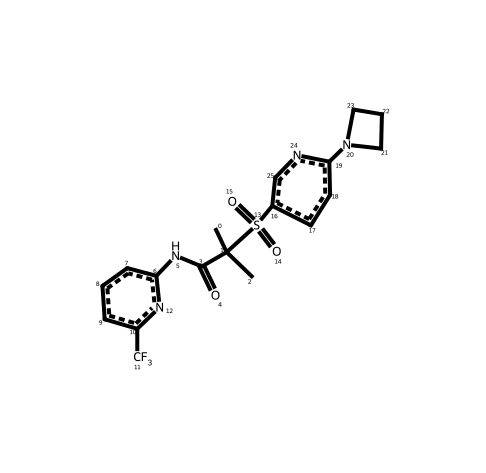 CC(C)(C(=O)Nc1cccc(C(F)(F)F)n1)S(=O)(=O)c1ccc(N2CCC2)nc1